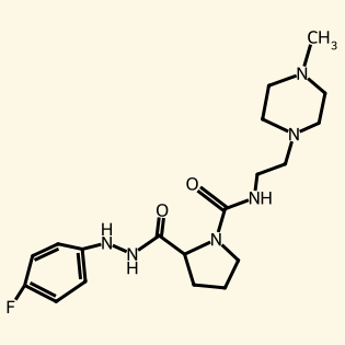 CN1CCN(CCNC(=O)N2CCCC2C(=O)NNc2ccc(F)cc2)CC1